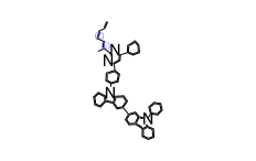 C=C/C=C\C=C(/C)c1nc(-c2ccccc2)cc(-c2ccc(-n3c4ccccc4c4cc(-c5ccc6c7ccccc7n(-c7ccccc7)c6c5)ccc43)cc2)n1